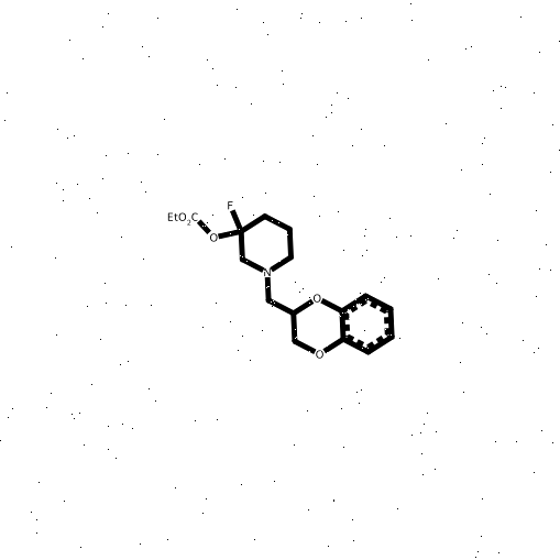 CCOC(=O)OC1(F)CCCN(CC2COc3ccccc3O2)C1